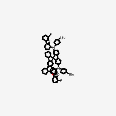 CC(C)(C)c1ccc(N(c2ccc3c(c2)C2(c4ccccc4-c4cc5c6ccccc6c6ccccc6c5cc42)c2cc(N(c4ccc(C(C)(C)C)cc4)c4cccc5c4oc4c(F)cccc45)ccc2-3)c2cccc3c2oc2c(F)cccc23)cc1